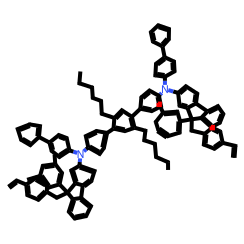 C=Cc1ccc(CC2(C3=CC#CCC(C)=C3)c3ccccc3-c3ccc(N(c4ccc(-c5ccccc5)cc4)c4ccc(-c5cc(CCCCCC)c(-c6ccc(N(c7ccc(-c8ccccc8)cc7)c7ccc8c(c7)C(Cc7ccc(C=C)cc7)(c7cc(C)cc(C)c7)c7ccccc7-8)cc6)cc5CCCCCC)cc4)cc32)cc1